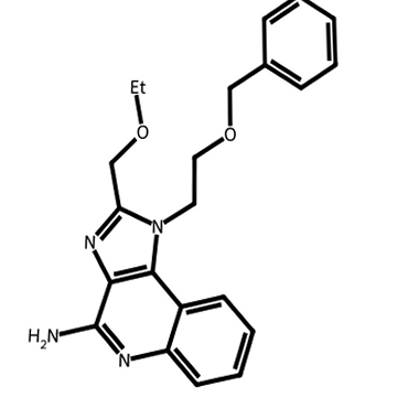 CCOCc1nc2c(N)nc3ccccc3c2n1CCOCc1ccccc1